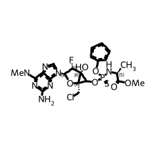 CNc1nc(N)nc2c1ncn2[C@@H]1O[C@]2(CCl)C(OP(=S)(N[C@@H](C)C(=O)OC)Oc3ccccc3)[C@]2(O)[C@H]1F